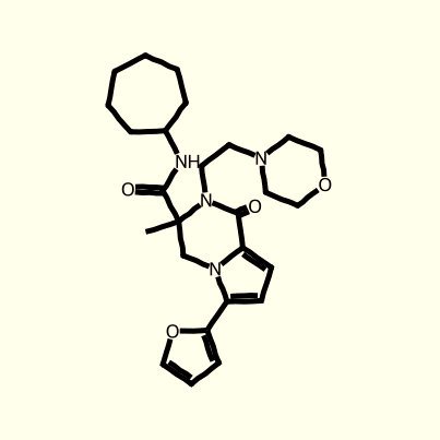 CC1(C(=O)NC2CCCCCC2)Cn2c(ccc2-c2ccco2)C(=O)N1CCN1CCOCC1